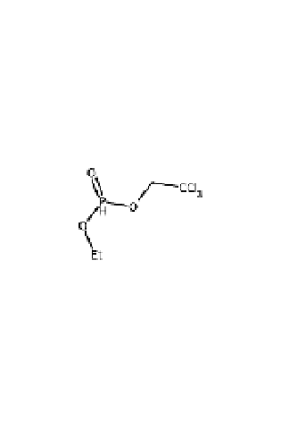 CCO[PH](=O)OCC(Cl)(Cl)Cl